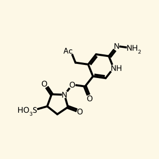 CC(=O)Cc1cc(=NN)[nH]cc1C(=O)ON1C(=O)CC(S(=O)(=O)O)C1=O